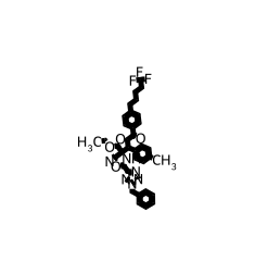 CCOC(=O)C(C#N)(NC(=O)c1nnn(Cc2ccccc2)n1)C(CC(=O)c1ccc(CCCCC(F)(F)F)cc1)c1ccc(C)cc1